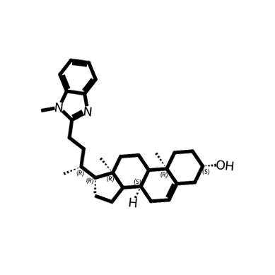 C[C@H](CCc1nc2ccccc2n1C)[C@H]1CCC2[C@@H]3CC=C4C[C@@H](O)CC[C@]4(C)C3CC[C@@]21C